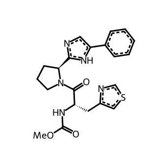 COC(=O)N[C@@H](Cc1cscn1)C(=O)N1CCC[C@H]1c1ncc(-c2ccccc2)[nH]1